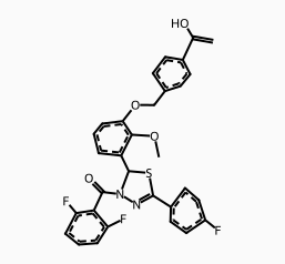 C=C(O)c1ccc(COc2cccc(C3SC(c4ccc(F)cc4)=NN3C(=O)c3c(F)cccc3F)c2OC)cc1